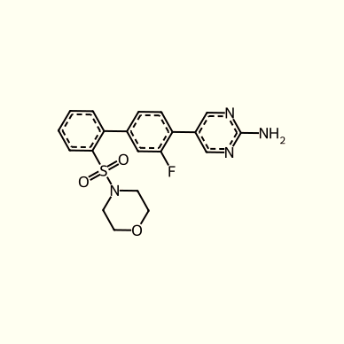 Nc1ncc(-c2ccc(-c3ccccc3S(=O)(=O)N3CCOCC3)cc2F)cn1